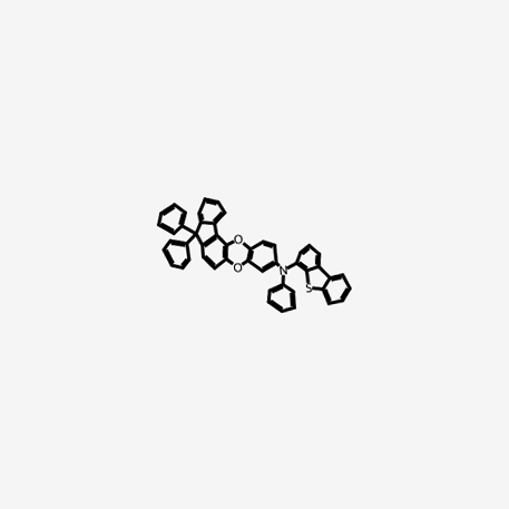 c1ccc(N(c2ccc3c(c2)Oc2ccc4c(c2O3)-c2ccccc2C4(c2ccccc2)c2ccccc2)c2cccc3c2sc2ccccc23)cc1